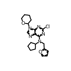 Clc1nc(N(Cc2ccco2)C2CCCC2)c2ncn(C3CCCCO3)c2n1